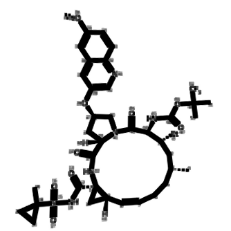 CC[C@@H]1C[C@H](C)CC/C=C\[C@@H]2C[C@@]2(C(=O)NS(=O)(=O)C2(C)CC2)NC(=O)[C@@H]2C[C@@H](Oc3cnc4ccc(OC)cc4c3)CN2C(=O)[C@H]1NC(=O)OC(C)(C)C(F)(F)F